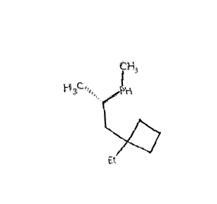 CCC1(C[C@H](C)PC)CCC1